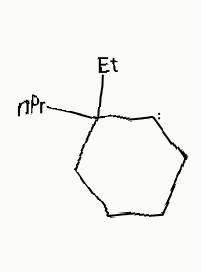 CCCC1(CC)[C]CCCC1